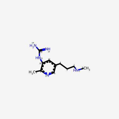 CNCCCc1cnc(C)c(NC(=N)N)c1